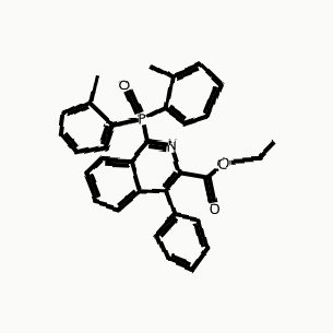 CCOC(=O)c1nc(P(=O)(c2ccccc2C)c2ccccc2C)c2ccccc2c1-c1ccccc1